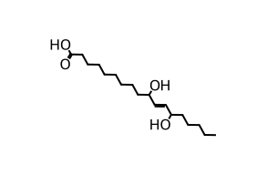 CCCCCC(O)C=CC(O)CCCCCCCCC(=O)O